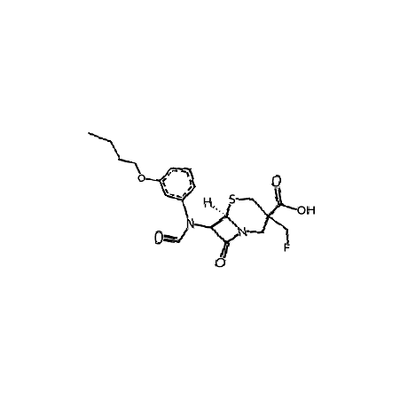 CCCCOc1cccc(N(C=O)C2C(=O)N3CC(CF)(C(=O)O)CS[C@H]23)c1